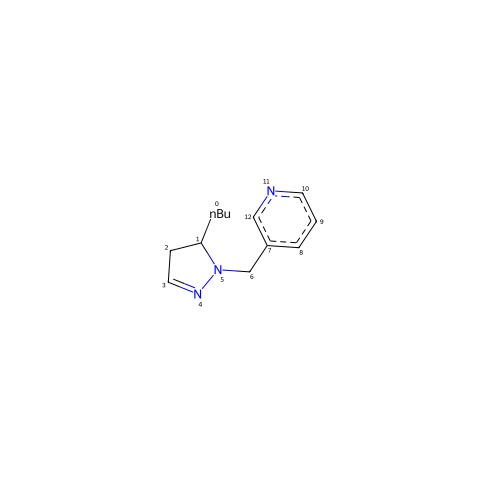 CCCCC1CC=NN1Cc1cccnc1